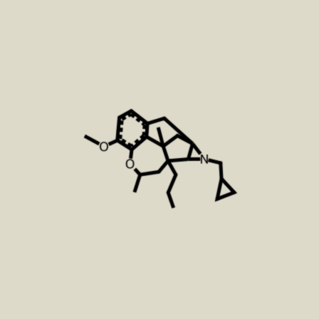 CCCC12CC(C)Oc3c(OC)ccc4c3C1(C)CC1(C4)C2N1CC1CC1